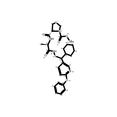 C[C@@H](NC(=O)[C@@H]1CSCN1C(=O)OC(C)(C)C)C(=O)NSC(c1ccc(Oc2ccccc2)nc1)C1CCCCC1